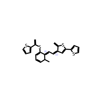 C=C(SC1=CC=CC(C)/C1=C\C=c1\cc(-c2cccs2)sc1=C)c1cccs1